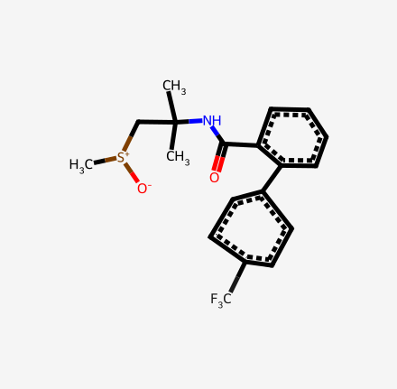 C[S+]([O-])CC(C)(C)NC(=O)c1ccccc1-c1ccc(C(F)(F)F)cc1